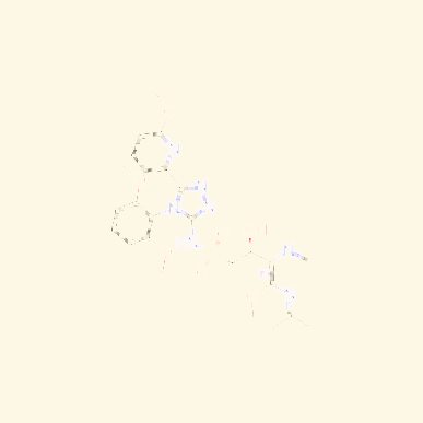 C=N/C(=C(\N=C(C)C)OC)[C@H](O)[C@H](C)S(=O)(=O)Nc1nnc(-c2cccc(OC)n2)n1-c1c(OC)cccc1OC